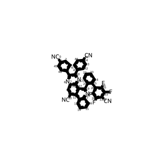 N#Cc1ccc(-c2nc3cc(C#N)c4c5ccccc5nc(-c5ccccc5-c5c(F)c(F)c(C#N)c(F)c5F)c4c3nc2-c2ccc(C#N)cc2)cc1